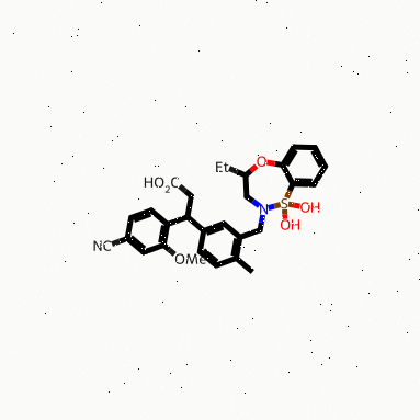 CCC1CN(Cc2cc(C(CC(=O)O)c3ccc(C#N)cc3OC)ccc2C)S(O)(O)c2ccccc2O1